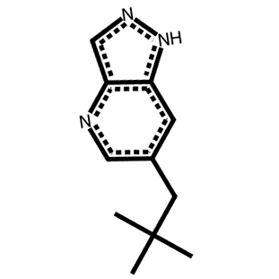 CC(C)(C)Cc1cnc2cn[nH]c2c1